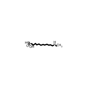 CCNCCCCCCCCCCC[CH]P(=O)(O)O